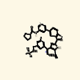 C#Cc1[nH]c(-c2n[nH]c3ccc(-c4cncc(NC(=O)C5CCCC5)c4)cc23)nc1/C(=C\N)c1cc(F)cc(CNS(C)(=O)=O)c1